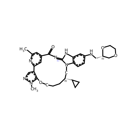 Cc1cc2cc(n1)-c1cnn(C)c1OCCC[C@@H](C1CC1)CN1/C(=N/C2=O)Nc2cc(NC[C@H]3COCCO3)ccc21